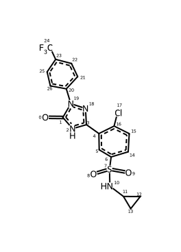 O=c1[nH]c(-c2cc(S(=O)(=O)NC3CC3)ccc2Cl)nn1-c1ccc(C(F)(F)F)cc1